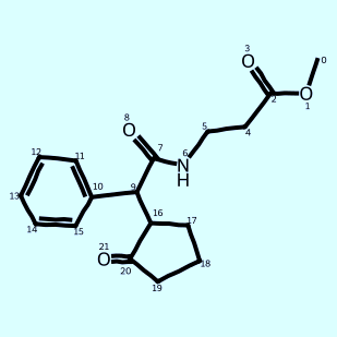 COC(=O)CCNC(=O)C(c1ccccc1)C1CCCC1=O